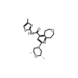 Cc1csc(NC(=O)c2cc(N3C[C@@H](C)O[C@@H](C)C3)nc3c2CCOCC3)n1